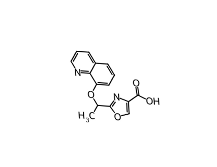 CC(Oc1cccc2cccnc12)c1nc(C(=O)O)co1